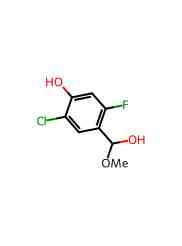 COC(O)c1cc(Cl)c(O)cc1F